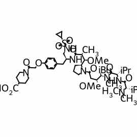 CC[C@H](C)[C@@H]([C@@H](CC(=O)N1CCC[C@H]1[C@H](OC)[C@@H](C)C(=O)N[C@H](CNS(=O)(=O)C1CC1)Cc1ccc(OCC(=O)N2CCC(C(=O)O)CC2)cc1)OC)N(C)C(=O)[C@@H](NC(=O)[C@H](C(C)C)N(C)C)C(C)C